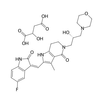 Cc1c(C=C2C(=O)Nc3ccc(F)cc32)[nH]c2c1C(=O)N(C[C@H](O)CN1CCOCC1)CC2.O=C(O)CC(O)C(=O)O